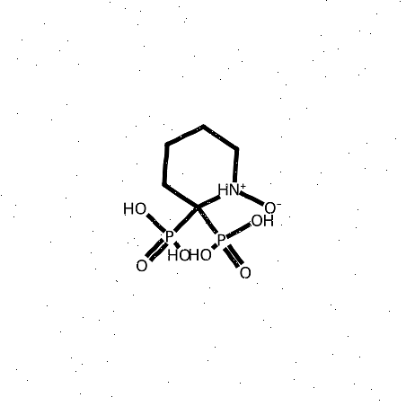 O=P(O)(O)C1(P(=O)(O)O)CCCC[NH+]1[O-]